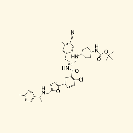 Cc1ccc(C(C)NCc2ccc(-c3ccc(Cl)c(C(=O)N[C@@H](CNC4CCC(NC(=O)OC(C)(C)C)CC4)Cc4ccc(C#N)c(C)c4)c3)o2)cc1